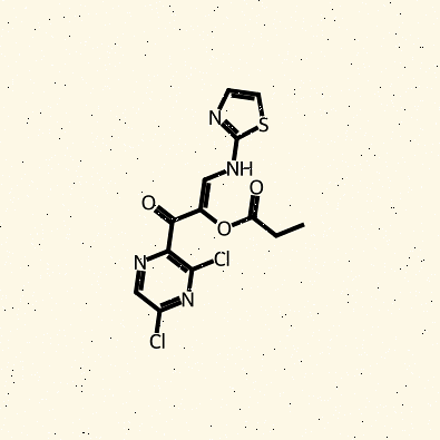 CCC(=O)O/C(=C\Nc1nccs1)C(=O)c1ncc(Cl)nc1Cl